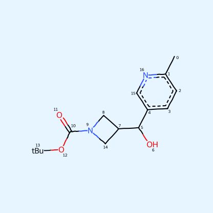 Cc1ccc(C(O)C2CN(C(=O)OC(C)(C)C)C2)cn1